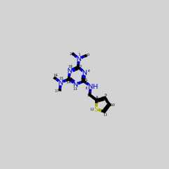 CN(C)c1nc(NCc2cccs2)nc(N(C)C)n1